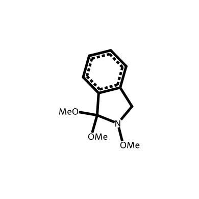 CON1Cc2ccccc2C1(OC)OC